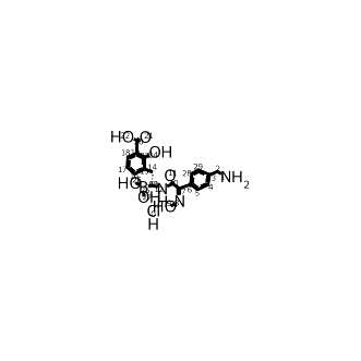 Cl.NCc1ccc(C(=NO)C(=O)N[C@@H](Cc2cccc(C(=O)O)c2O)B(O)O)cc1